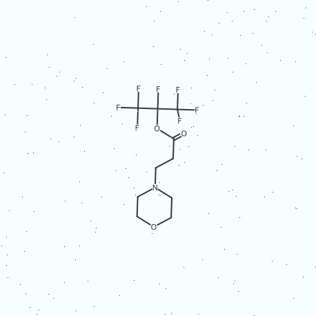 O=C(CCN1CCOCC1)OC(F)(C(F)(F)F)C(F)(F)F